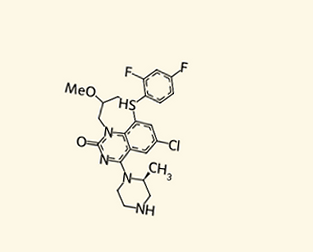 COC1Cn2c(=O)nc(N3CCNC[C@@H]3C)c3cc(Cl)cc(c32)[SH](c2ccc(F)cc2F)C1